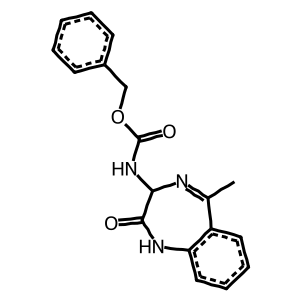 CC1=NC(NC(=O)OCc2ccccc2)C(=O)Nc2ccccc21